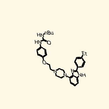 CCCCNC(=O)Nc1ccc(OCCN2CCN(c3cccc4[nH]c(-c5ccc(CC)cc5)nc34)CC2)cc1